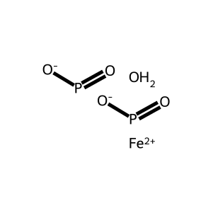 O.O=P[O-].O=P[O-].[Fe+2]